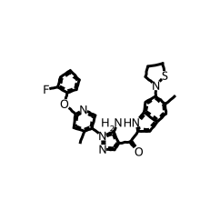 Cc1cc2cc(C(=O)c3cnn(-c4cnc(Oc5ccccc5F)cc4C)c3N)[nH]c2cc1N1CCCS1